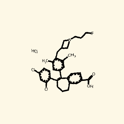 Cc1cc(C2=C(c3ccc(Cl)cc3Cl)CCCc3cc(C(=O)O)ccc32)cc(C)c1CC1CN(CCCF)C1.Cl